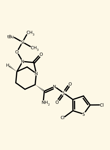 CC(C)(C)[Si](C)(C)ON1C(=O)N2C[C@H]1CC[C@H]2C(N)=NS(=O)(=O)c1cc(Cl)sc1Cl